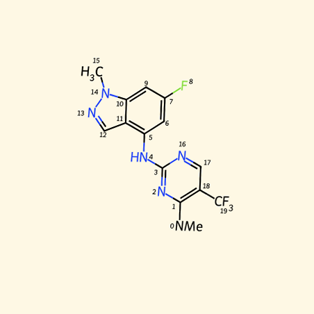 CNc1nc(Nc2cc(F)cc3c2cnn3C)ncc1C(F)(F)F